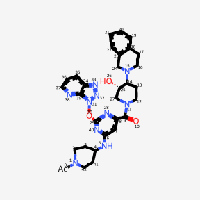 CC(=O)N1CCC(Nc2cc(C(=O)N3CC[C@H](N4CCc5ccccc5C4)[C@@H](O)C3)nc(On3nnc4cccnc43)n2)CC1